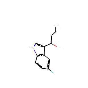 CCCC(O)c1c[nH]c2ccc(F)cc12